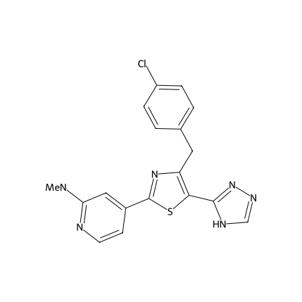 CNc1cc(-c2nc(Cc3ccc(Cl)cc3)c(-c3nnc[nH]3)s2)ccn1